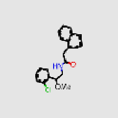 COC(CNC(=O)Cc1cccc2ccccc12)c1ccccc1Cl